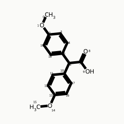 COc1ccc(C(C(=O)O)c2ccc(OC)cc2)cc1